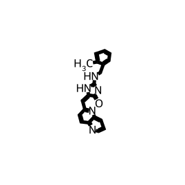 Cc1ccccc1CNC1=NC(=O)C(=Cc2ccc3ncccc3n2)N1